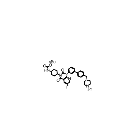 CC(C)N1CCN(Cc2ccc(-c3cccc(-n4c(=O)n(C5CCC(NC(=O)OC(C)(C)C)CC5)c(=O)c5cc(F)cnc54)c3)cc2)CC1